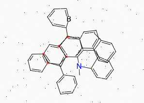 Cc1ccccc1-c1cccc(C(c2ccccc2)c2ccccc2)c1N(C)c1ccccc1C1=CC=CC(C(c2bcccc2)c2ccccc2)C1C